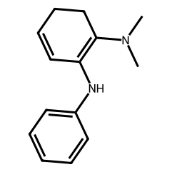 CN(C)C1=C(Nc2ccccc2)C=CCC1